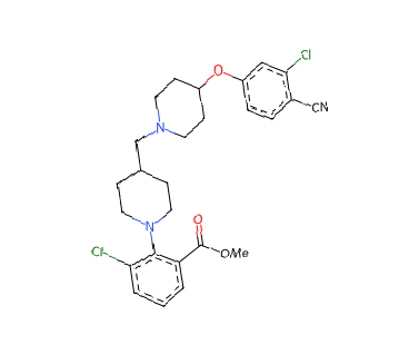 COC(=O)c1cccc(Cl)c1N1CCC(CN2CCC(Oc3ccc(C#N)c(Cl)c3)CC2)CC1